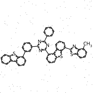 Cc1cccc2sc(-c3cccc4c3sc3cccc(-c5nc(-c6ccccc6)nc(-c6cccc(-c7cccc8c7sc7ccccc78)c6)n5)c34)nc12